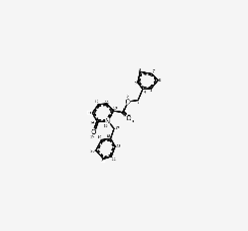 O=C(OCc1ccccc1)c1cccc(=O)n1Cc1ccccc1